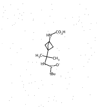 CC(C)(C)[S+]([O-])NC(C)(C)C12CC(NC(=O)O)(C1)C2